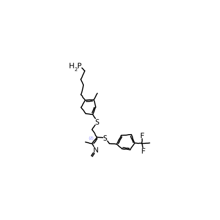 C=N/C(C)=C(/CSC1=CC(C)=C(CCCCP)CC1)SCc1ccc(C(C)(F)F)cc1